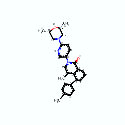 Cc1ccc(-c2cccc3c(=O)n(-c4ccc(N5C[C@@H](C)O[C@@H](C)C5)nc4)cc(C)c23)cc1